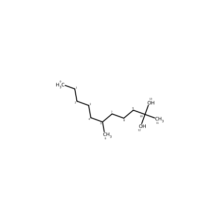 CCCCCC(C)CCCC(C)(O)O